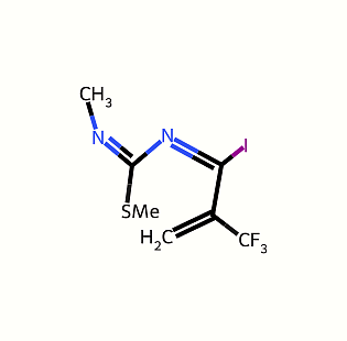 C=C(/C(I)=N\C(=N/C)SC)C(F)(F)F